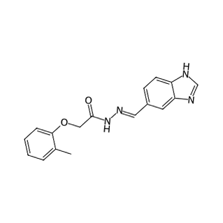 Cc1ccccc1OCC(=O)N/N=C/c1ccc2[nH]cnc2c1